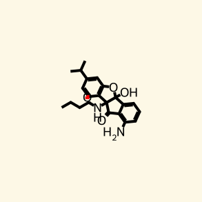 CCCC(=O)NC12C(=O)c3c(N)cccc3C1(O)Oc1cc(C(C)C)ccc12